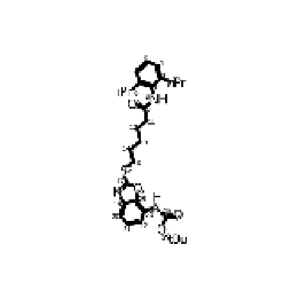 CC(C)c1cccc(C(C)C)c1NC(=O)CCCCCSc1nc2cccc(NC(=O)OC(C)(C)C)c2o1